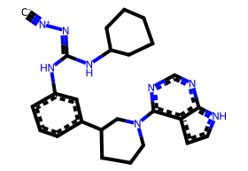 [C-]#[N+]/N=C(\Nc1cccc(C2CCCN(c3ncnc4[nH]ccc34)C2)c1)NC1CCCCC1